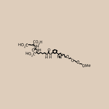 COCCOCCOCCOCCn1cc(-c2cccc(NC(=O)NCCCC[C@H](NC(=O)N[C@@H](CCC(=O)O)C(=O)O)C(=O)O)c2)nn1